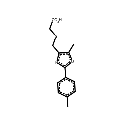 Cc1ccc(-c2nc(CSCC(=O)O)c(C)o2)cc1